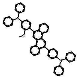 COc1cc(N(c2ccccc2)c2ccccc2)ccc1-c1cc2c3ccccc3c(-c3ccc(N(c4ccccc4)c4ccccc4)cc3)cc2c2ccccc12